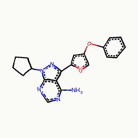 Nc1ncnc2c1c(-c1cc(Oc3ccccc3)co1)nn2C1CCCC1